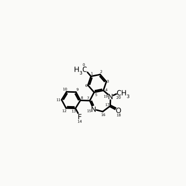 Cc1ccc2c(c1)C(c1ccccc1F)=NCC(=O)N2C